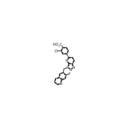 O=C(O)c1ccc(-c2ccc3nnn(Cc4cc5cccnc5cc4F)c3n2)cc1Cl